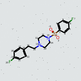 O=S(=O)(c1ccc(F)cc1)N1CCN(CCc2ccc(F)cc2)CC1